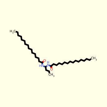 CCCCCCCCCCCCCCCC(=O)NC(CCC)NC(=O)CCCCCCCCCCCCCCC